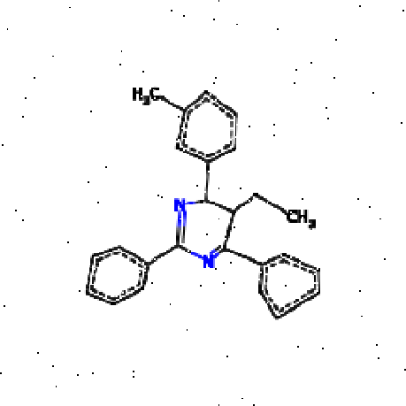 CCC1C(c2ccccc2)=NC(c2ccccc2)=NC1c1cccc(C)c1